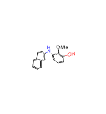 COc1c(O)cccc1Nc1ccc2ccccc2c1